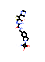 Nc1c(N2CCc3ccc(CNC(=O)c4nc5scc(-c6cnccn6)c5c(=O)[nH]4)cc3C2)c(=O)c1=O